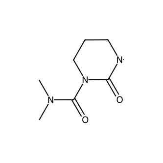 CN(C)C(=O)N1CCC[N]C1=O